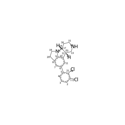 Clc1cccc(-c2cc3c4c(c2)[C@H]2CNCC[C@H]2N4CC3)c1Cl